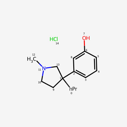 CCCC1(c2cccc(O)c2)CCN(C)C1.Cl